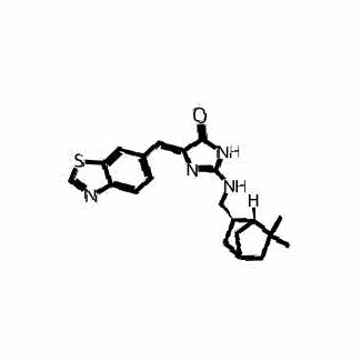 CC1(C)CC2C[C@@H](CNC3=N/C(=C\c4ccc5ncsc5c4)C(=O)N3)[C@H]1C2